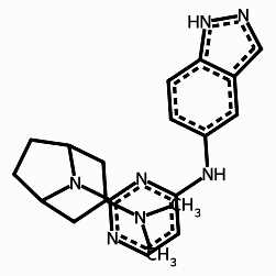 CN(C)C1CC2CCC(C1)N2c1nccc(Nc2ccc3[nH]ncc3c2)n1